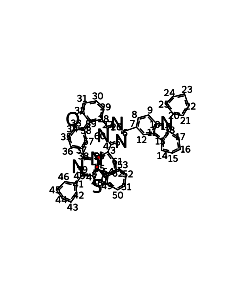 c1ccc(-c2nc(-c3ccc4c(c3)c3ccccc3n4-c3ccccc3)nc(-c3cccc4oc5ccc(-c6nc(-c7ccccc7)c7sc8ccccc8c7n6)cc5c34)n2)cc1